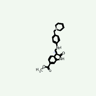 COC(=O)c1ccc2c(c1)NC(=O)/C2=C\Nc1ccc(CN2CCCCC2)cc1